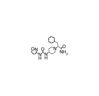 NC(=O)C(Cc1ccccc1)N1CCC(NC(=O)Nc2ccon2)CC1